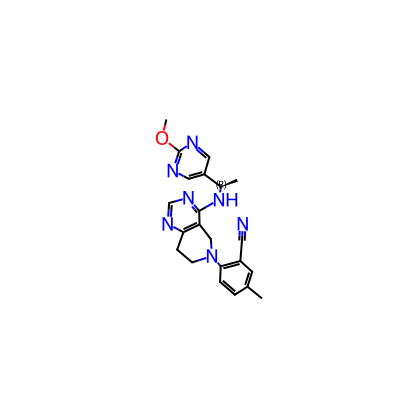 COc1ncc([C@@H](C)Nc2ncnc3c2CN(c2ccc(C)cc2C#N)CC3)cn1